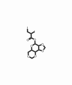 O=C(OC1OC2COCOC2C2OCOC12)C(I)CI